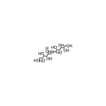 OC[C@@H](O)[C@@H](O)[C@H](O)[C@@H](O)CNC[C@H](O)[C@@H](O)[C@H](O)[C@H](O)CO